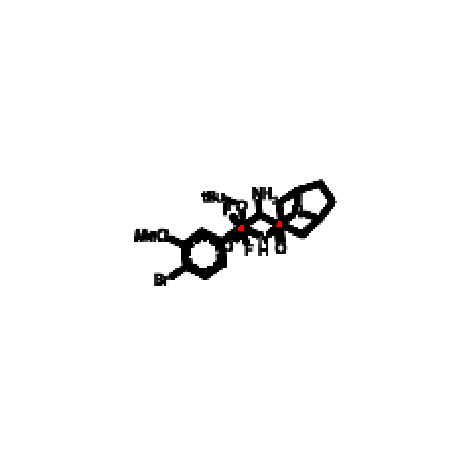 COc1cc(C(F)(F)C(N)C(=O)N2C3CCC2CC(NC(=O)OC(C)(C)C)C3)ccc1Br